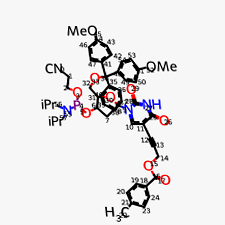 [C-]#[N+]CCOP(OC1CC(n2cc(C#CCOC(=O)c3ccc(C)cc3)c(=O)[nH]c2=O)OC1COC(c1ccccc1)(c1ccc(OC)cc1)c1ccc(OC)cc1)N(C(C)C)C(C)C